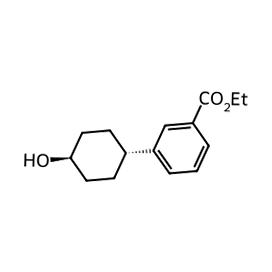 CCOC(=O)c1cccc([C@H]2CC[C@H](O)CC2)c1